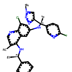 [2H][C@](Nc1cc(Cl)c2ncc(C#N)c(N[C@H](CC)c3ccccc3)c2c1)(c1ccc(F)nc1)c1cn(C(C)(C)C)nn1